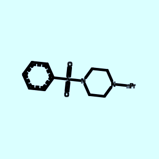 CCCN1CCN(S(=O)(=O)c2ccccc2)CC1